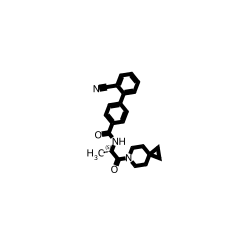 C[C@H](NC(=O)c1ccc(-c2ccccc2C#N)cc1)C(=O)N1CCC2(CC1)CC2